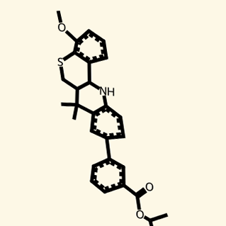 COc1cccc2c1SCC1C2Nc2ccc(-c3cccc(C(=O)OC(C)C)c3)cc2C1(C)C